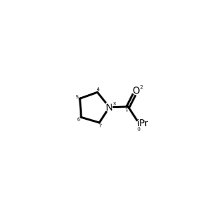 [CH2]C(C)C(=O)N1CCCC1